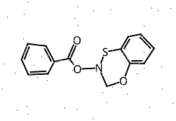 O=C(ON1COc2ccccc2S1)c1ccccc1